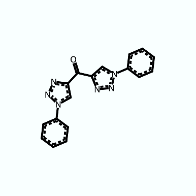 O=C(c1cn(-c2ccccc2)nn1)c1cn(-c2ccccc2)nn1